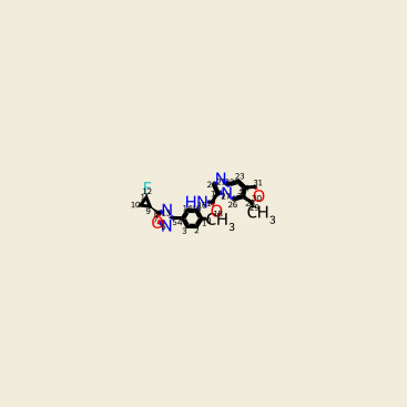 Cc1ccc(-c2noc([C@H]3C[C@@H]3F)n2)cc1NC(=O)c1cnc2cc3c(cn12)C(C)OC3